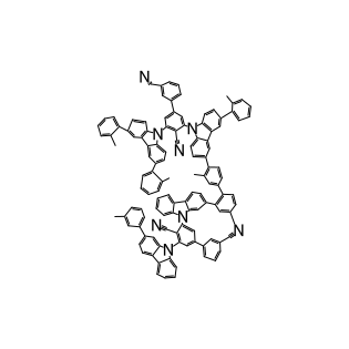 Cc1cccc(-c2ccc3c4ccccc4n(-c4cc(-c5cccc(C#N)c5)cc(-n5c6ccccc6c6ccc(-c7cc(C)ccc7-c7ccc(-c8ccc9c(c8)c8cc(-c%10ccccc%10C)ccc8n9-c8cc(-c9cccc(C#N)c9)cc(-n9c%10ccc(-c%11ccccc%11C)cc%10c%10cc(-c%11ccccc%11C)ccc%109)c8C#N)c(C)c7)cc65)c4C#N)c3c2)c1